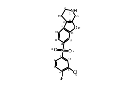 O=S(=O)(c1ccc(F)c(Cl)c1)c1ccc2c3c(oc2c1)CNCC3